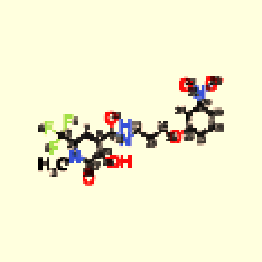 Cn1c(C(F)(F)F)cc(C(=O)NCCCOc2cccc([N+](=O)[O-])c2)c(O)c1=O